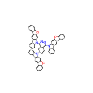 c1ccc2c(c1)oc1cc3c(cc12)c1ccccc1n3-c1ccc2c(-n3c4ccccc4c4cc5c(cc43)oc3ccccc35)nnc(-n3c4ccccc4c4cc5c(cc43)oc3ccccc35)c2c1